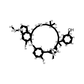 Cn1nc2nc1-c1cc(ccc1F)Sc1c(F)cc3c(ccn3SI)c1CCSCC(C)(C)CCCC2(C)c1cccc(O)c1